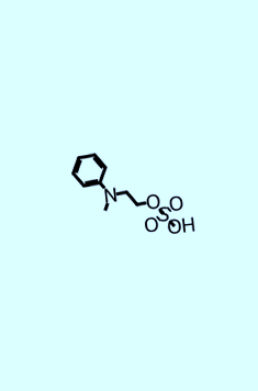 CN(CCOS(=O)(=O)O)c1ccccc1